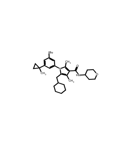 Cc1c(C(=O)NC2CCOCC2)c(C)n(-c2cc(C(C)(C)C)cc(C3(C)CC3)c2)c1CC1CCCCC1